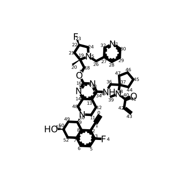 C#Cc1c(F)ccc2c1[C@@H](N1CCc3c(nc(OC[C@]4(C)C[C@@H](F)CN4Cc4cccnc4)nc3NCC3(N(C)C(=O)C=C)CCCC3)C1)C[C@H](O)C2